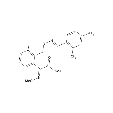 CO/N=C(/C(=O)OC)c1cccc(C)c1CO/N=C/c1ccc(C(F)(F)F)cc1C(F)(F)F